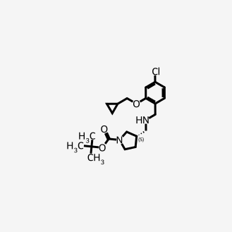 CC(C)(C)OC(=O)N1CC[C@@H](CNCc2ccc(Cl)cc2OCC2CC2)C1